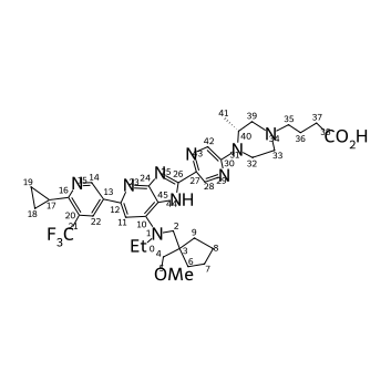 CCN(CC1(COC)CCCC1)c1cc(-c2cnc(C3CC3)c(C(F)(F)F)c2)nc2nc(-c3cnc(N4CCN(CCCC(=O)O)C[C@H]4C)cn3)[nH]c12